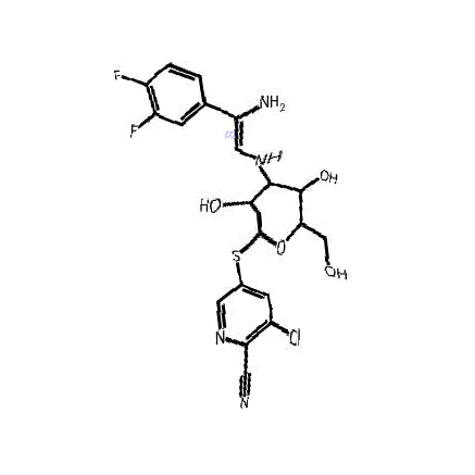 N#Cc1ncc(SC2OC(CO)C(O)C(N/C=C(\N)c3ccc(F)c(F)c3)C2O)cc1Cl